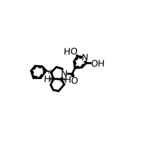 O=C(c1cc(O)nc(O)c1)N1CC[C@H](c2ccccc2)[C@H]2CCCC[C@H]21